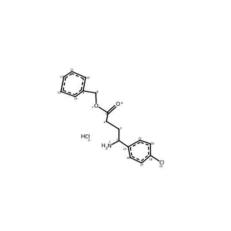 Cl.NC(CCC(=O)OCc1ccccc1)c1ccc(Cl)cc1